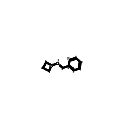 c1ccc(CON2CCC2)cc1